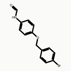 O=CNc1ccc(OCc2ccc(Br)cc2)cc1